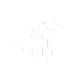 CN1CCC(Oc2cccc(C(=O)Nc3c(C(N)=O)oc4ccc(F)cc34)c2)CC1